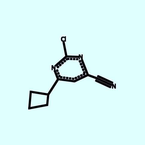 N#Cc1cc(C2CCC2)nc(Cl)n1